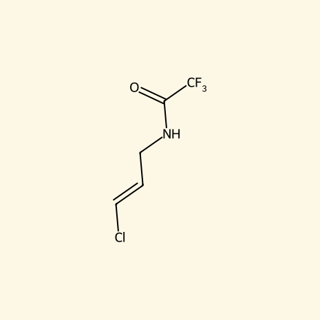 O=C(NC/C=C/Cl)C(F)(F)F